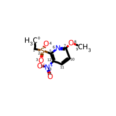 CCS(=O)(=O)c1nc(OC)ccc1[N+](=O)[O-]